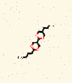 CCCCC1OCC(C2OCC(CCC)CO2)CO1